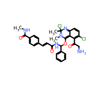 CNC(=O)c1ccc(C=CC(=O)NC(OC2=c3c(C(=O)CN)c(Cl)ccc3=NC(C)(Cl)N2C)c2ccccc2)cc1